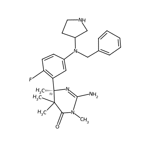 CN1C(=O)C(C)(C)[C@@](C)(c2cc(N(Cc3ccccc3)C3CCNC3)ccc2F)N=C1N